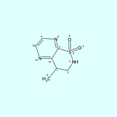 CC1CNS(=O)(=O)c2nccnc21